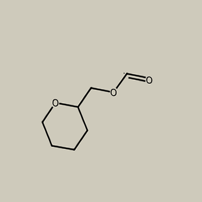 O=[C]OCC1CCCCO1